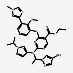 CCOC(=O)c1cnc(N(c2cnn(C(C)C)c2)C(C)n2cc(N)cn2)nc1Nc1cccc(-c2ncn(C)n2)c1OC